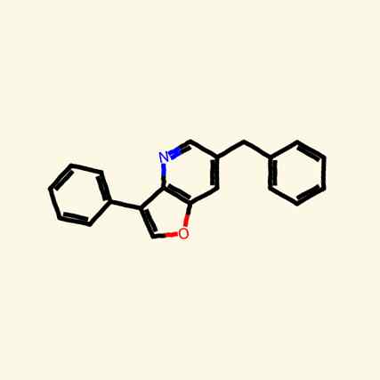 c1ccc(Cc2cnc3c(-c4ccccc4)coc3c2)cc1